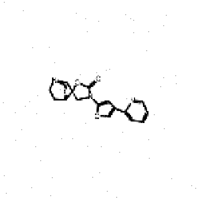 O=C1O[C@]2(CN3CCC2CC3)CN1c1cc(-c2ccccn2)co1